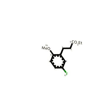 CCOC(=O)CCc1cc(F)ccc1OC